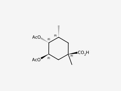 CC(=O)O[C@@H]1[C@H](C)C[C@@](C)(C(=O)O)C[C@H]1OC(C)=O